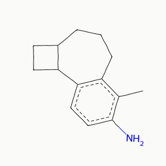 Cc1c(N)ccc2c1CCCC1CCC21